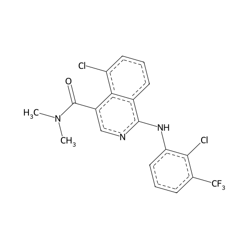 CN(C)C(=O)c1cnc(Nc2cccc(C(F)(F)F)c2Cl)c2cccc(Cl)c12